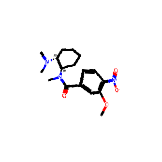 COc1cc(C(=O)N(C)[C@@H]2CCCC[C@H]2N(C)C)ccc1[N+](=O)[O-]